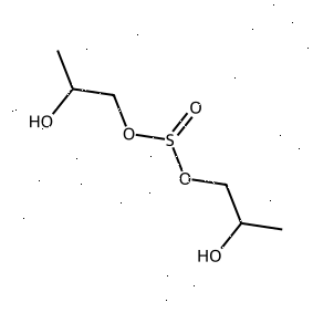 CC(O)COS(=O)OCC(C)O